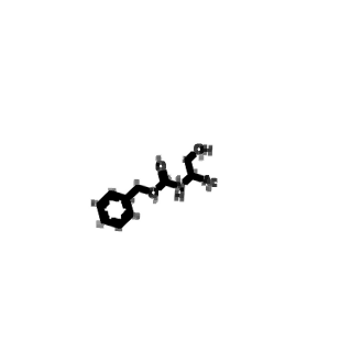 CC(=O)C(CO)NC(=O)OCc1ccccc1